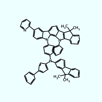 CC1(C)c2ccccc2-c2ccc(N(c3ccc(-c4ccccc4)cc3)c3ccc(-n4c5ccc(-c6ccccn6)cc5c5ccc6c7c(n(-c8ccccc8)c6c54)-c4ccccc4C7(C)C)cc3)cc21